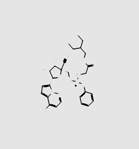 CCC(CC)COC(=O)[C@H](C)NP(=O)(OC[C@@]1(C#N)O[C@@H](c2ccc3c(N)ccnn23)[C@H](O)[C@@H]1O)Oc1ccccc1